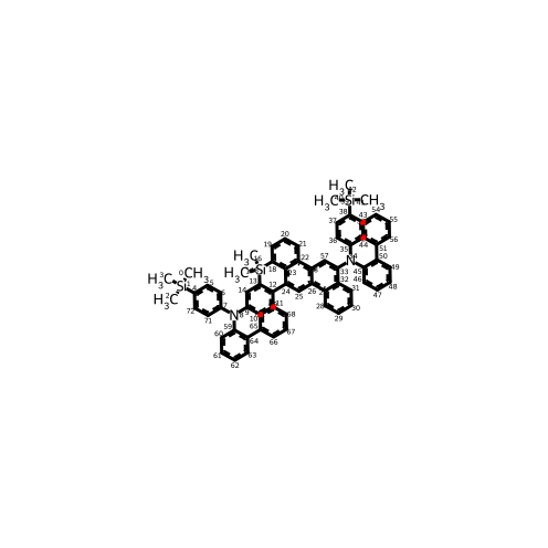 C[Si](C)(C)c1ccc(N(c2ccc3c(c2)[Si](C)(C)c2cccc4c2c-3cc2c3ccccc3c(N(c3ccc([Si](C)(C)C)cc3)c3ccccc3-c3ccccc3)cc42)c2ccccc2-c2ccccc2)cc1